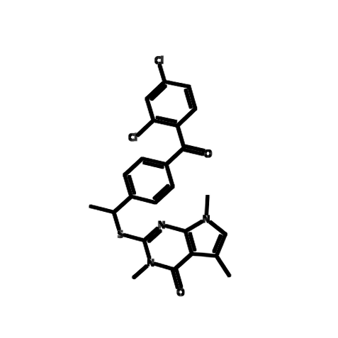 Cc1cn(C)c2nc(SC(C)c3ccc(C(=O)c4ccc(Cl)cc4Cl)cc3)n(C)c(=O)c12